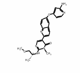 COC[C@@H](C)Nc1ncc(-c2ccc3cc(Oc4ccnc(N)c4)ccc3n2)c(=O)n1C